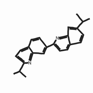 CC(C)c1ccc2ccc(-c3ccc4ccc(C(C)C)nc4c3)nc2c1